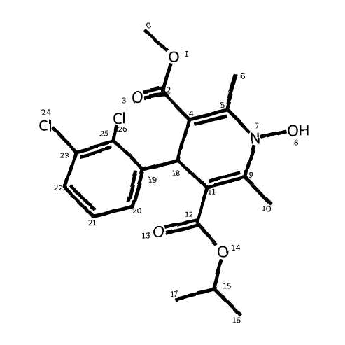 COC(=O)C1=C(C)N(O)C(C)=C(C(=O)OC(C)C)C1c1cccc(Cl)c1Cl